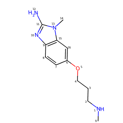 CNCCCOc1ccc2nc(N)n(C)c2c1